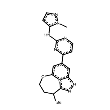 CCC(C)C1CCOc2cc(-c3ccnc(Nc4ccnn4C)n3)cc3nnc1n23